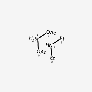 CC(=O)O[SiH2]OC(C)=O.CCNCC